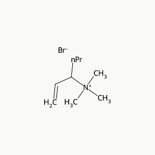 C=CC(CCC)[N+](C)(C)C.[Br-]